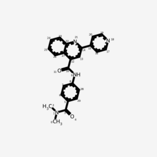 CN(C)C(=O)c1ccc(NC(=O)c2cc(-c3ccncc3)nc3ccccc23)cc1